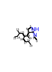 C=C/N=C1/NC=C/C1=C(/C)C(=CC(C)CC)/C=C\CC